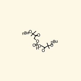 CCCCOC(C)(C)C(=O)CO[PH](=O)OCC(=O)C(C)(C)OCCCC